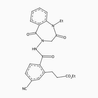 CCOC(=O)CCc1cc(C#N)ccc1C(=O)NN1CC(=O)N(CC)c2ccccc2C1=O